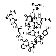 C[C@H](NC(=O)CNC(=O)[C@H](Cc1ccc(O)cc1)NC(=O)[C@H](CO)NC(=O)[C@H](CC(=O)O)NC(=O)[C@H](CO)NC(=O)[C@@H]1CCCN1C(=O)[C@H](CCCNC(=N)N)NC(=O)CNC(=O)CN)C(=O)N1CCC[C@H]1C(=O)NCC(=O)NCC(=O)NCC(=O)N[C@@H](CC(N)=O)C(=O)O